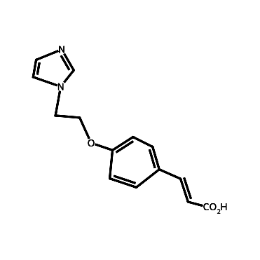 O=C(O)C=Cc1ccc(OCCn2ccnc2)cc1